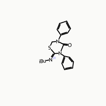 CCC(C)/N=C1\SCN(c2ccccc2)C(=O)N1c1ccccc1